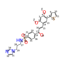 COc1cc(OC)c(-c2cccs2)cc1/C=C/C(=O)c1ccc(S(=O)(=O)NCCCn2ccnc2)cc1